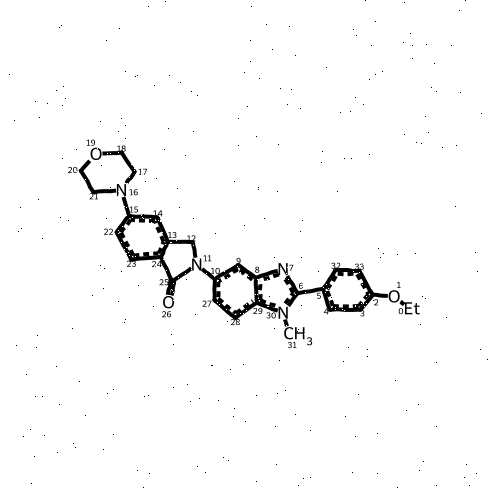 CCOc1ccc(-c2nc3cc(N4Cc5cc(N6CCOCC6)ccc5C4=O)ccc3n2C)cc1